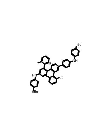 CCCCc1ccc(Nc2ccc(-c3ccc(-c4ccc(Nc5ccc(CCCC)cc5)cc4-c4c(C)cccc4CC)c(-c4c(C)cccc4CC)c3)cc2)cc1